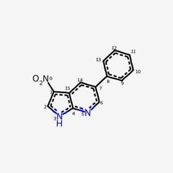 O=[N+]([O-])c1c[nH]c2ncc(-c3ccccc3)cc12